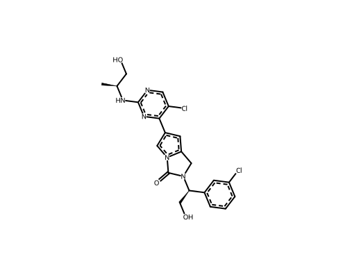 C[C@@H](CO)Nc1ncc(Cl)c(-c2cc3n(c2)C(=O)N([C@H](CO)c2cccc(Cl)c2)C3)n1